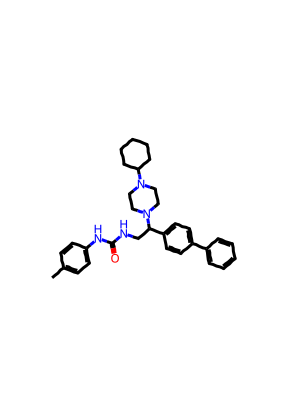 Cc1ccc(NC(=O)NCC(c2ccc(-c3ccccc3)cc2)N2CCN(C3CCCCC3)CC2)cc1